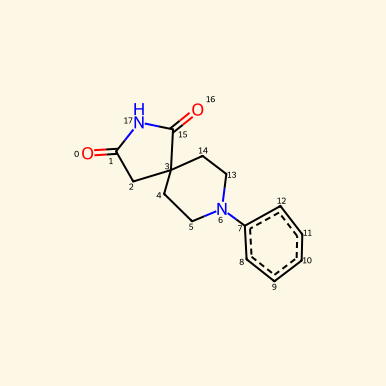 O=C1CC2(CCN(c3ccccc3)CC2)C(=O)N1